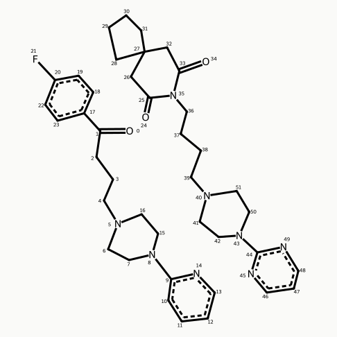 O=C(CCCN1CCN(c2ccccn2)CC1)c1ccc(F)cc1.O=C1CC2(CCCC2)CC(=O)N1CCCCN1CCN(c2ncccn2)CC1